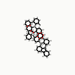 C=Cc1c(N(c2c(C)cccc2-c2ccccc2)c2cccc3c2oc2ccccc23)ccc2ccc3c(N(c4c(F)cccc4-c4ccccc4)c4cccc5c4oc4ccccc45)ccc(C)c3c12